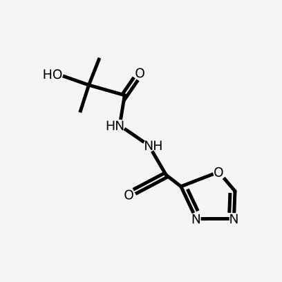 CC(C)(O)C(=O)NNC(=O)c1nnco1